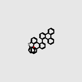 c1ccc(-c2cccc(-c3cccc4c5ccccc5c5ccccc5c34)c2-c2cccc3sc4ccccc4c23)cc1